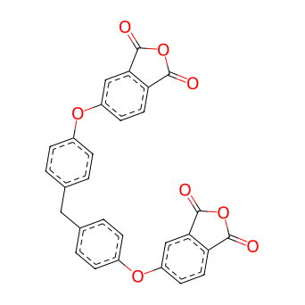 O=C1OC(=O)c2cc(Oc3ccc(Cc4ccc(Oc5ccc6c(c5)C(=O)OC6=O)cc4)cc3)ccc21